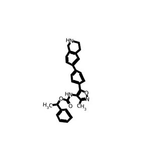 Cc1noc(-c2ccc(-c3ccc4c(c3)CCNC4)cc2)c1NC(=O)OC(C)c1ccccc1